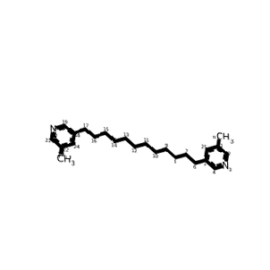 Cc1cncc(CCCCCCCCCCCCc2cncc(C)c2)c1